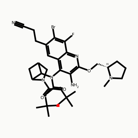 CN1CCC[C@H]1COc1nc2c(F)c(Br)c(CCC#N)cc2c(N(C(=O)OC(C)(C)C)C2C3CC2N(C(=O)OC(C)(C)C)C3)c1N